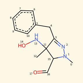 CN1N=C(Cc2ccccc2)C(C)(NO)C1C=O